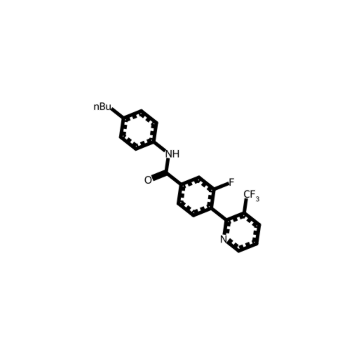 CCCCc1ccc(NC(=O)c2ccc(-c3ncccc3C(F)(F)F)c(F)c2)cc1